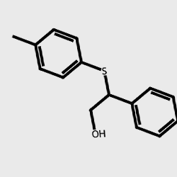 Cc1ccc(SC(CO)c2ccccc2)cc1